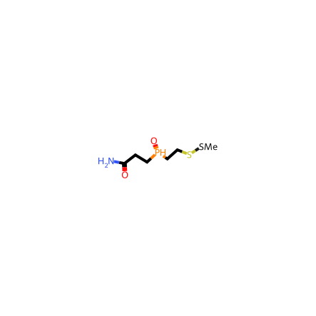 CSSCC[PH](=O)CCC(N)=O